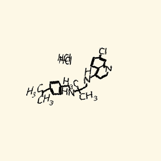 CC(C)c1ccc(CNC(C)(C)CNc2ccnc3cc(Cl)ccc23)cc1.Cl.Cl